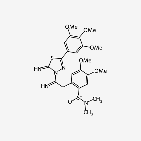 COc1cc(CC(=N)n2nc(-c3cc(OC)c(OC)c(OC)c3)sc2=N)c([S+]([O-])N(C)C)cc1OC